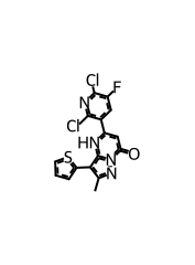 Cc1nn2c(=O)cc(-c3cc(F)c(Cl)nc3Cl)[nH]c2c1-c1cccs1